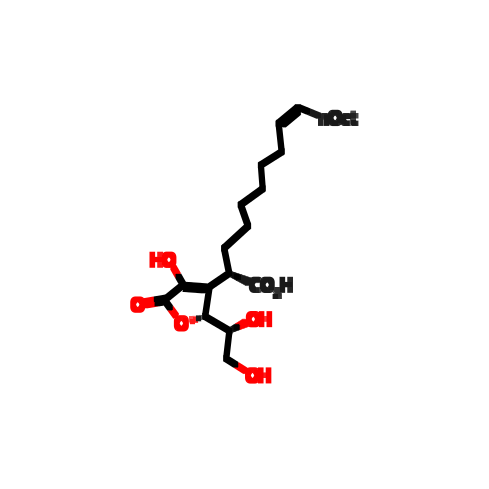 CCCCCCCC/C=C\CCCCCC[C@@H](C(=O)O)C1=C(O)C(=O)O[C@H]1[C@@H](O)CO